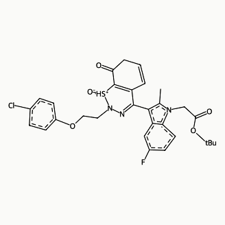 Cc1c(C2=NN(CCOc3ccc(Cl)cc3)[SH+]([O-])C3=C2C=CCC3=O)c2cc(F)ccc2n1CC(=O)OC(C)(C)C